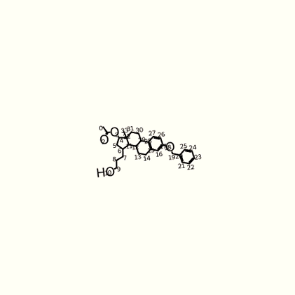 CC(=O)OC1CC(CCCO)C2C3CCc4cc(OCc5ccccc5)ccc4C3CCC12C